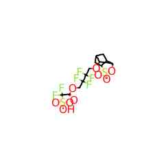 O=C(OCC(F)(F)C(F)(F)COC1C2CC3C1OS(=O)(=O)C3C2)C(F)(F)S(=O)(=O)O